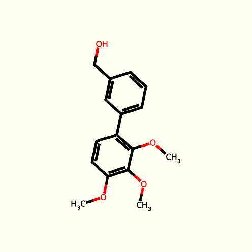 COc1ccc(-c2cccc(CO)c2)c(OC)c1OC